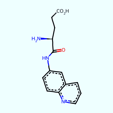 N[C@@H](CCC(=O)O)C(=O)Nc1ccc2ncccc2c1